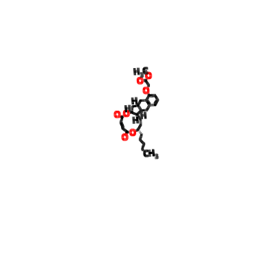 CCCCC[C@H]1CC[C@@H]2[C@H]3Cc4cccc(OCC(=O)OC)c4C[C@H]3C[C@H]2OC(=O)/C=C\C(=O)O1